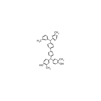 Cc1cccc(C(c2ccc(-c3ccc(C(c4ccc(O)c(C)c4)c4ccc(O)c(C)c4)cc3)cc2)c2cccc(C)c2)c1